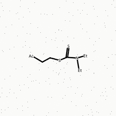 CCN(CC)C(=S)SCCC(C)=O